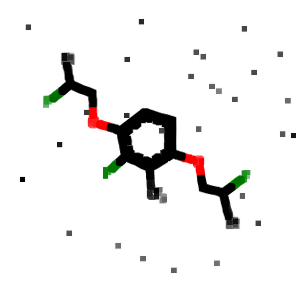 CCC(F)COc1ccc(OCC(F)CC)c(C(F)(F)F)c1F